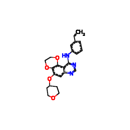 C=Cc1cccc(Nc2ncnc3cc(OC4CCOCC4)c4c(c23)OCCO4)c1